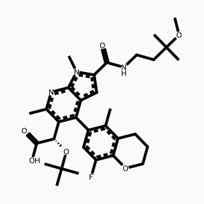 COC(C)(C)CCNC(=O)c1cc2c(-c3cc(F)c4c(c3C)CCCO4)c([C@H](OC(C)(C)C)C(=O)O)c(C)nc2n1C